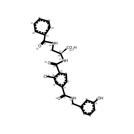 O=C(NCc1cccc(O)c1)c1ccc(C(=O)N[C@@H](CNC(=O)c2ccccc2)C(=O)O)c(Cl)c1